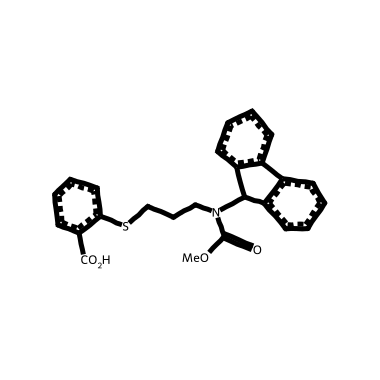 COC(=O)N(CCCSc1ccccc1C(=O)O)C1c2ccccc2-c2ccccc21